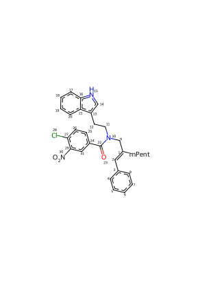 CCCCCC(=Cc1ccccc1)CN(CCc1c[nH]c2ccccc12)C(=O)c1ccc(Cl)c([N+](=O)[O-])c1